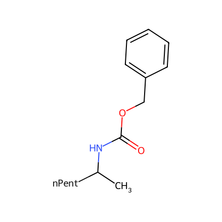 C[CH]CCCC(C)NC(=O)OCc1ccccc1